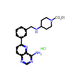 CCOC(=O)N1CCC(NCc2cccc(-c3ccc4ncnc(N)c4n3)c2)CC1.Cl